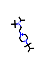 CC(C)N(CCN1CCN(C(C)(C)C(C)C)CC1)C(C)(C)C